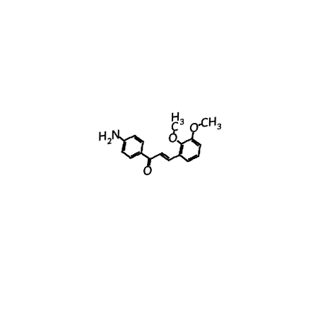 COc1cccc(C=CC(=O)c2ccc(N)cc2)c1OC